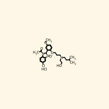 COc1ccc(OCCCN(CCO)CCC(C)C)c(C2N(C(C)=O)c3ccc(Cl)cc3[S+]2[O-])c1.Cl